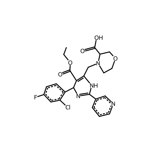 CCOC(=O)C1=C(CN2CCOCC2C(=O)O)NC(c2cccnc2)=NC1c1ccc(F)cc1Cl